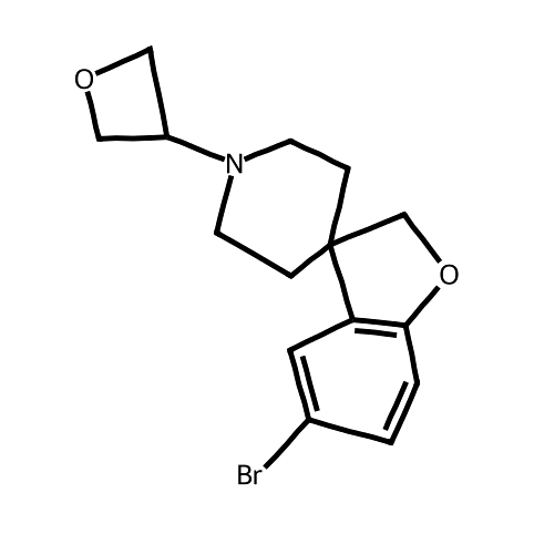 Brc1ccc2c(c1)C1(CCN(C3COC3)CC1)CO2